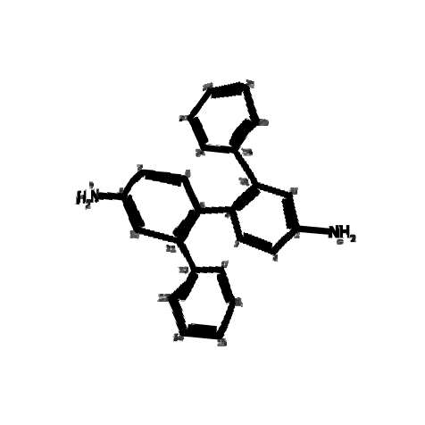 Nc1ccc(-c2ccc(N)cc2-c2ccccc2)c(-c2ccccc2)c1